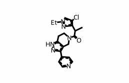 CCn1cc(Cl)c(C(C)C(=O)N2CCc3[nH]nc(-c4ccncc4)c3C2)n1